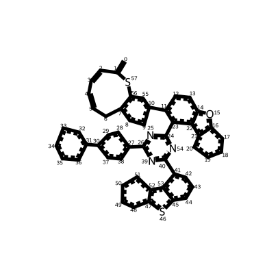 C=C1/C=C\C=C/Cc2ccc(-c3ccc4oc5ccccc5c4c3-c3nc(-c4ccc(-c5ccccc5)cc4)nc(-c4cccc5sc6ccccc6c45)n3)cc2S1